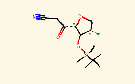 CC(C)(C)[Si](C)(C)OC1[C@@H](F)CO[C@H]1C(=O)CC#N